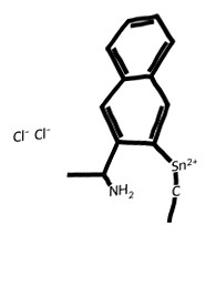 C[CH2][Sn+2][c]1cc2ccccc2cc1C(C)N.[Cl-].[Cl-]